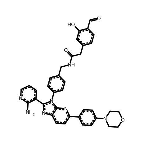 Nc1ncccc1-c1nc2ccc(-c3ccc(N4CCOCC4)cc3)nc2n1-c1ccc(CNC(=O)Cc2ccc(C=O)c(O)c2)cc1